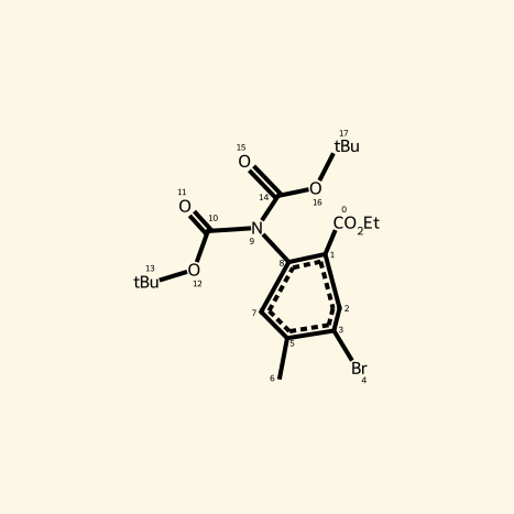 CCOC(=O)c1cc(Br)c(C)cc1N(C(=O)OC(C)(C)C)C(=O)OC(C)(C)C